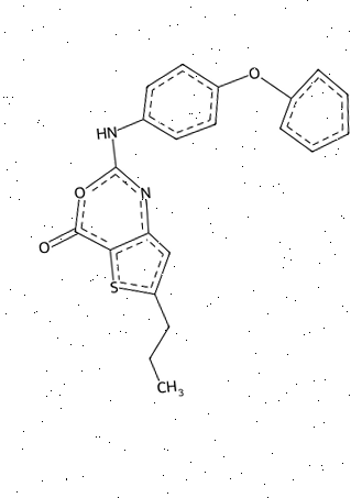 CCCc1cc2nc(Nc3ccc(Oc4ccccc4)cc3)oc(=O)c2s1